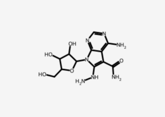 NNc1c(C(N)=O)c2c(N)ncnc2n1C1OC(CO)C(O)C1O